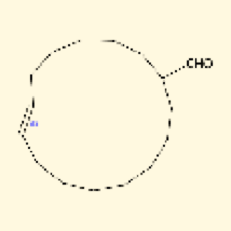 O=CC1CCCCC/C=C/CCCCCCC1